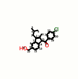 CC1=C(CC(C)C)c2cc(CO)ccc2C1C(=O)c1ccc(Cl)cc1